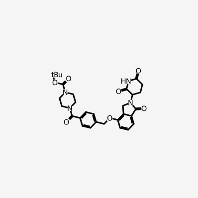 CC(C)(C)OC(=O)N1CCN(C(=O)c2ccc(COc3cccc4c3CN(C3CCC(=O)NC3=O)C4=O)cc2)CC1